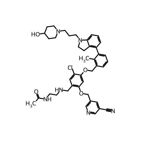 CC(=O)NCCNCc1cc(Cl)c(OCc2cccc(-c3cccc4c3CCN4CCCN3CCC(O)CC3)c2C)cc1OCc1cncc(C#N)c1